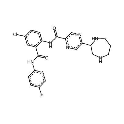 O=C(Nc1ccc(Cl)cc1C(=O)Nc1ccc(F)cn1)c1cnc(C2CNCCCN2)cn1